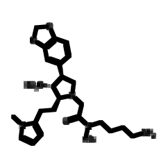 CCCCN(CCCCN)C(=O)CN1C[C@H](c2ccc3c(c2)OCO3)[C@@H](C(=O)O)[C@@H]1CCc1cccn1C